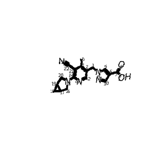 Cc1c(Cn2cc(C(=O)O)cn2)cnc(N2CC3CC3C2)c1C#N